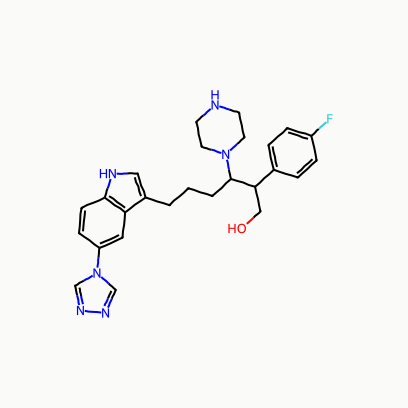 OCC(c1ccc(F)cc1)C(CCCc1c[nH]c2ccc(-n3cnnc3)cc12)N1CCNCC1